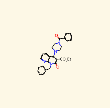 CCOC(=O)c1c(N2CCN(C(=O)c3ccccc3)CC2)c2cccnc2n(Cc2ccccc2)c1=O